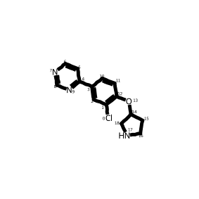 Clc1cc(-c2ccncn2)ccc1OC1CCNC1